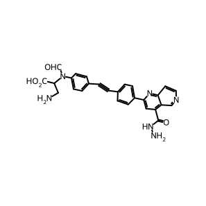 NCC(C(=O)O)N(C=O)c1ccc(C#Cc2ccc(-c3cc(C(=O)NN)c4cnccc4n3)cc2)cc1